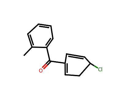 Cc1ccccc1C(=O)C1=CCC(Cl)C=C1